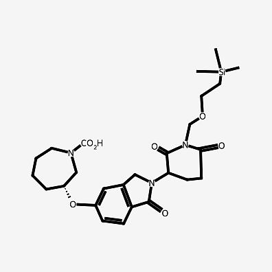 C[Si](C)(C)CCOCN1C(=O)CCC(N2Cc3cc(O[C@@H]4CCCCN(C(=O)O)C4)ccc3C2=O)C1=O